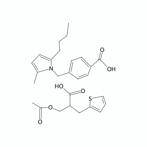 CC(=O)OCC(Cc1cccs1)C(=O)O.CCCCc1ccc(C)n1Cc1ccc(C(=O)O)cc1